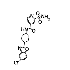 NS(=O)(=O)c1cc(C(=O)NC2CCC(c3nc4cc(Cl)ccc4o3)CC2)ccn1